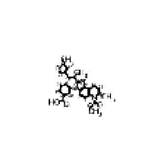 COC(=O)N1c2ccc3c(nc([C@@H](C)Cc4cnn(C)c4)n3[C@@H]3CCC[C@@H](C(=O)O)C3)c2CC[C@@H]1C